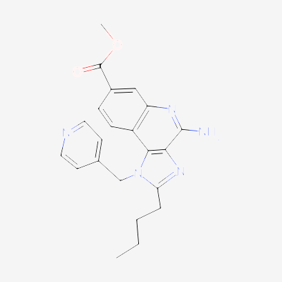 CCCCc1nc2c(N)nc3cc(C(=O)OC)ccc3c2n1Cc1ccncc1